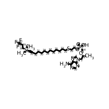 C[C@H](Cn1cnc2c(N)ncnc21)OCP(=O)(O)OCCSCCCCCCCCCCCC#C[Si](C)(C)CCC(F)(F)F